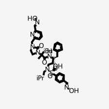 CCC(C)C(C)(C(=O)N[C@@H](Cc1ccccc1)[C@@H](O)CN(CC(C)C)S(=O)(=O)c1ccc(C=NO)cc1)N1CCN(Cc2cccc(C=NO)n2)C1=O